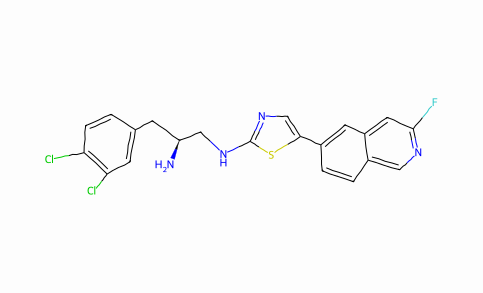 N[C@H](CNc1ncc(-c2ccc3cnc(F)cc3c2)s1)Cc1ccc(Cl)c(Cl)c1